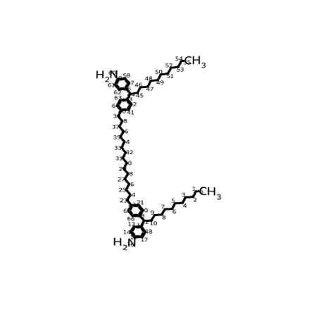 CCCCCCCCCCCC(c1ccc(N)cc1)c1ccc(CCCCCCCCCCCCCCCCCc2ccc(C(CCCCCCCCCCC)c3ccc(N)cc3)cc2)cc1